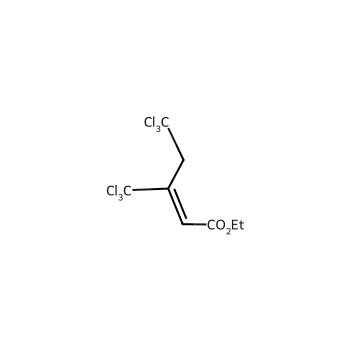 CCOC(=O)C=C(CC(Cl)(Cl)Cl)C(Cl)(Cl)Cl